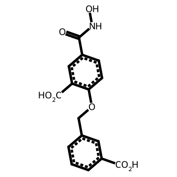 O=C(O)c1cccc(COc2ccc(C(=O)NO)cc2C(=O)O)c1